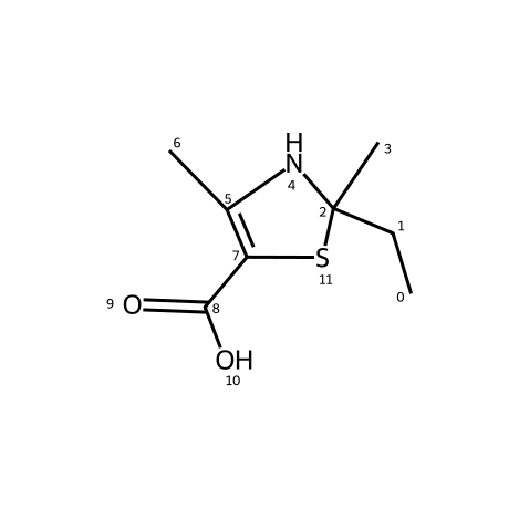 CCC1(C)NC(C)=C(C(=O)O)S1